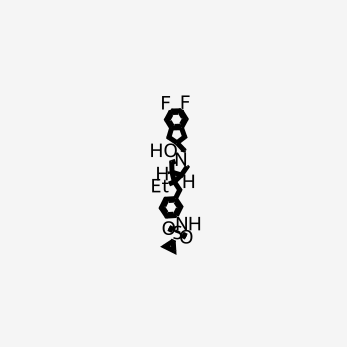 CCC1(Cc2cccc(NS(=O)(=O)C3CC3)c2)[C@@H]2CN(CC3(O)Cc4cc(F)c(F)cc4C3)C[C@@H]21